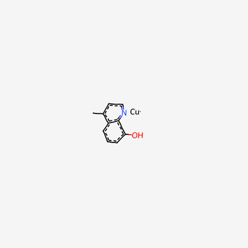 Cc1ccnc2c(O)cccc12.[Cu]